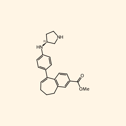 COC(=O)c1ccc2c(c1)CCCC=C2c1ccc(N[C@H]2CCNC2)cc1